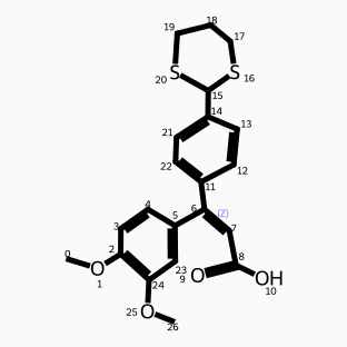 COc1ccc(/C(=C\C(=O)O)c2ccc(C3SCCCS3)cc2)cc1OC